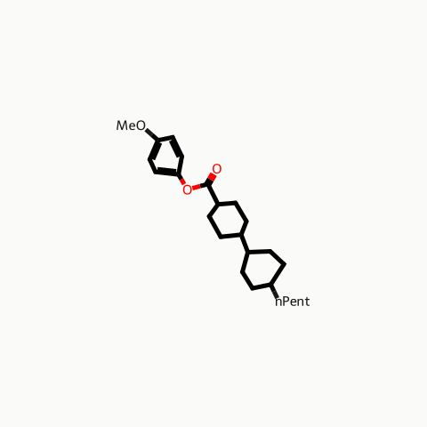 CCCCCC1CCC(C2CCC(C(=O)Oc3ccc(OC)cc3)CC2)CC1